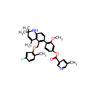 COc1cc(OC(=O)c2cncc(C)c2)ccc1-c1ccc2c(c1COc1cc(F)ccc1C)C(C)=CC(C)(C)N2